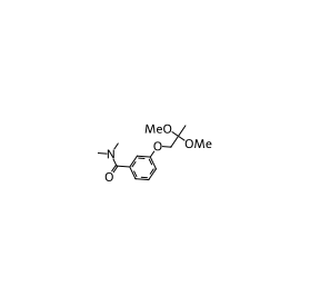 COC(C)(COc1cccc(C(=O)N(C)C)c1)OC